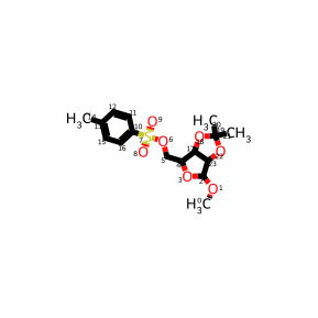 COC1OC(COS(=O)(=O)c2ccc(C)cc2)C2OC(C)(C)OC12